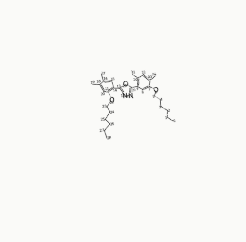 CCCCCCOc1cc(-c2nnc(-c3cc(C)c(C)cc3OCCCCCC)o2)c(C)cc1C